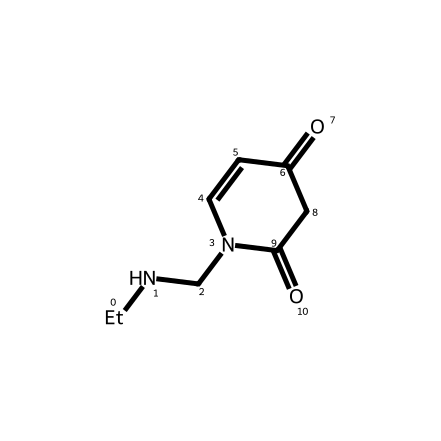 CCNCN1C=CC(=O)CC1=O